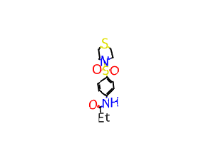 CCC(=O)Nc1ccc(S(=O)(=O)N2CCSCC2)cc1